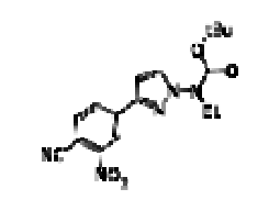 CCN(C(=O)OC(C)(C)C)n1ccc(-c2ccc(C#N)c([N+](=O)[O-])c2)n1